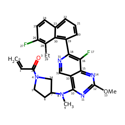 C=CC(=O)N1CCC(N(C)c2nc(OC)nc3c(F)c(-c4cccc5ccc(F)c(CC)c45)ncc23)C1